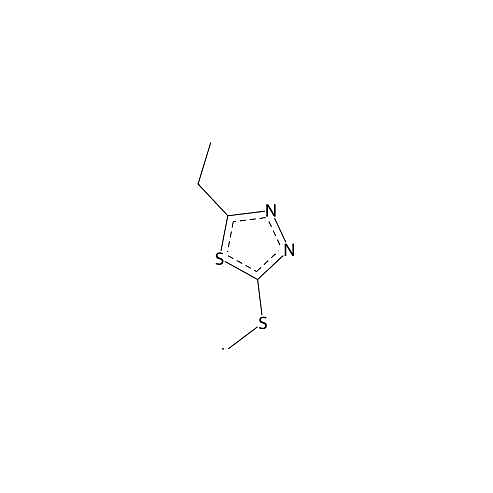 [CH2]Sc1nnc(CC)s1